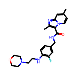 Cc1ccn2c(C(=O)NCc3ccc(NCCN4CCOCC4)c(F)c3)c(C)nc2c1